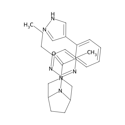 CCCc1cc(C)nc(N2C3CCC2CN(C(=O)c2ccccc2-c2cn[nH]c2)C3)n1